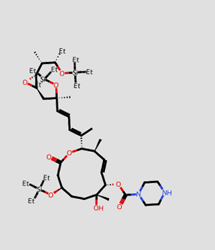 CC[C@H](O[Si](CC)(CC)CC)[C@@H](C)[C@H]1O[C@@H]1C[C@](C)(/C=C/C=C(\C)[C@H]1OC(=O)C[C@H](O[Si](CC)(CC)CC)CC[C@@](C)(O)[C@@H](OC(=O)N2CCNCC2)/C=C/[C@@H]1C)O[Si](CC)(CC)CC